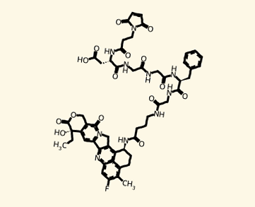 CC[C@@]1(O)C(=O)OCc2c1cc1n(c2=O)Cc2c-1nc1cc(F)c(C)c3c1c2[C@@H](NC(=O)CCCNC(=O)CNC(=O)[C@H](Cc1ccccc1)NC(=O)CNC(=O)CNC(=O)[C@H](CC(=O)O)NC(=O)CCN1C(=O)C=CC1=O)CC3